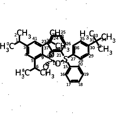 CC(C)c1cc(C(C)C)c(S(=O)(=O)OS(c2ccccc2)(c2ccccc2)c2ccc(C(C)(C)C)cc2)c(C(C)C)c1